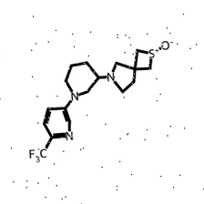 [O-][S+]1CC2(CCN(C3CCCN(c4ccc(C(F)(F)F)nc4)C3)C2)C1